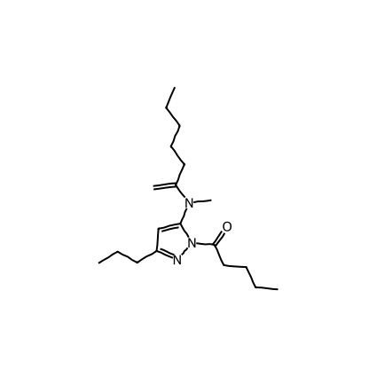 C=C(CCCCC)N(C)c1cc(CCC)nn1C(=O)CCCC